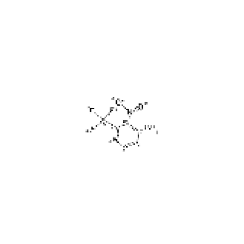 Nc1ccnc(C(F)(F)F)c1[N+](=O)[O-]